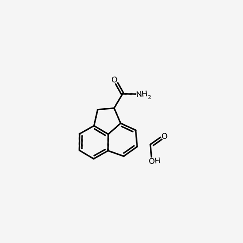 NC(=O)C1Cc2cccc3cccc1c23.O=CO